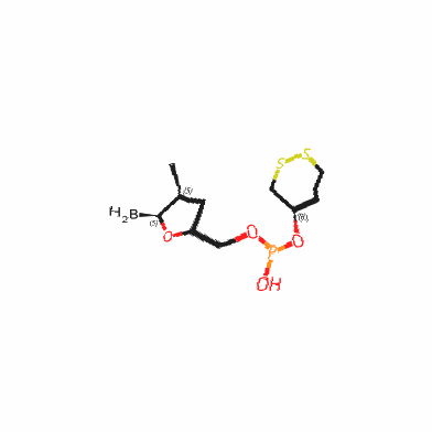 B[C@@H]1OC(COP(O)O[C@@H]2CCSSC2)C[C@@H]1C